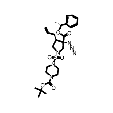 C=CC[C@@H]1CN(S(=O)(=O)N2CCN(C(=O)OC(C)(C)C)CC2)C[C@]1(N=[N+]=[N-])C(=O)O[C@H](C)c1ccccc1